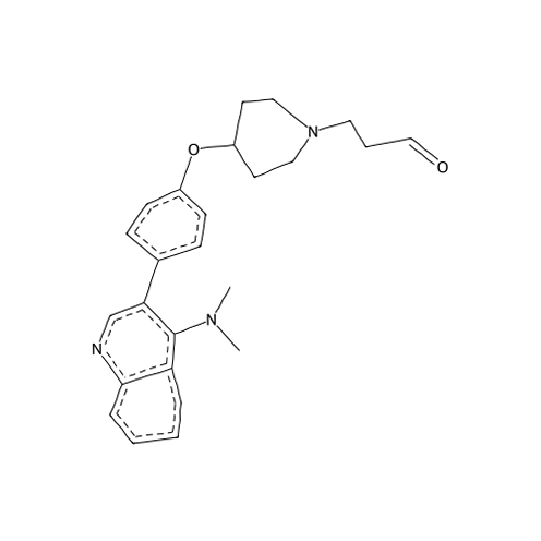 CN(C)c1c(-c2ccc(OC3CCN(CCC=O)CC3)cc2)cnc2ccccc12